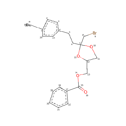 CC(C)(C)c1ccc(CCC2(CBr)OCC(COC(=O)c3ccccc3)O2)cc1